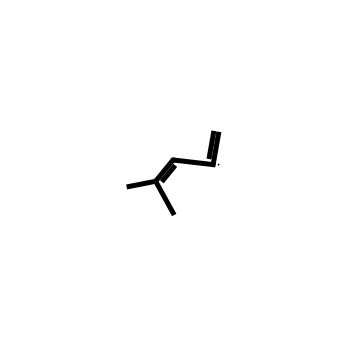 C=[C]C=C(C)C